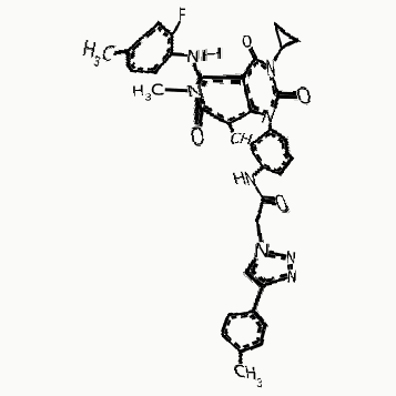 Cc1ccc(-c2cn(CC(=O)Nc3cccc(-n4c(=O)n(C5CC5)c(=O)c5c(Nc6ccc(C)cc6F)n(C)c(=O)c(C)c54)c3)nn2)cc1